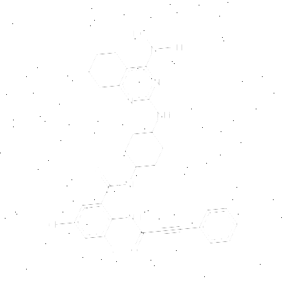 CN(C)c1nc(NC2CCC(NC(=O)c3cc(Cl)cc(Cl)c3NC(=O)C#Cc3ccccc3)CC2)nc2c1CCCC2